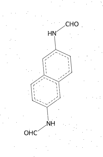 O=CNc1ccc2cc(NC=O)ccc2c1